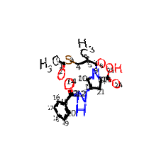 CC(=O)SCC(C)C(=O)N1CC(NC(=O)c2ccccc2)C[C@H]1C(=O)O